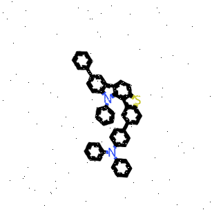 c1ccc(-c2ccc3c(c2)c2ccc4sc5ccc(-c6ccc(N(c7ccccc7)c7ccccc7)cc6)cc5c4c2n3-c2ccccc2)cc1